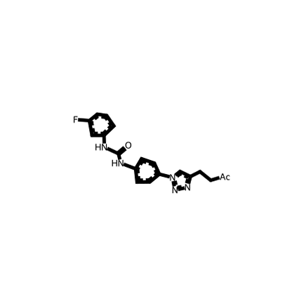 CC(=O)CCc1cn(-c2ccc(NC(=O)Nc3cccc(F)c3)cc2)nn1